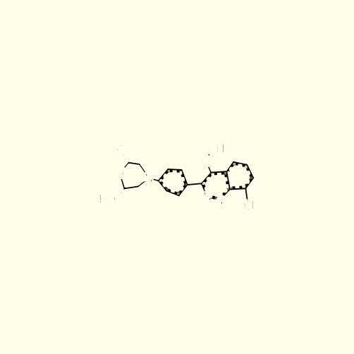 COc1c(-c2ccc(N3C[C@@H](C)O[C@@H](C)C3)cc2)nnc2c(Cl)cccc12